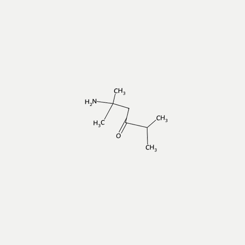 CC(C)C(=O)CC(C)(C)N